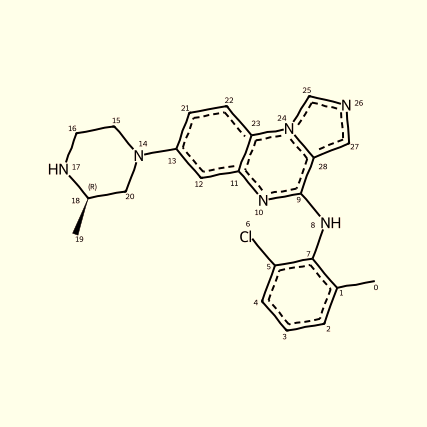 Cc1cccc(Cl)c1Nc1nc2cc(N3CCN[C@H](C)C3)ccc2n2cncc12